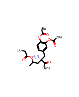 CCC(C)CC(=O)OC(C)C[C@@](N)(Cc1ccc(OC(=O)C(C)(C)C)c(OC(=O)C(C)(C)C)c1)C(=O)OC